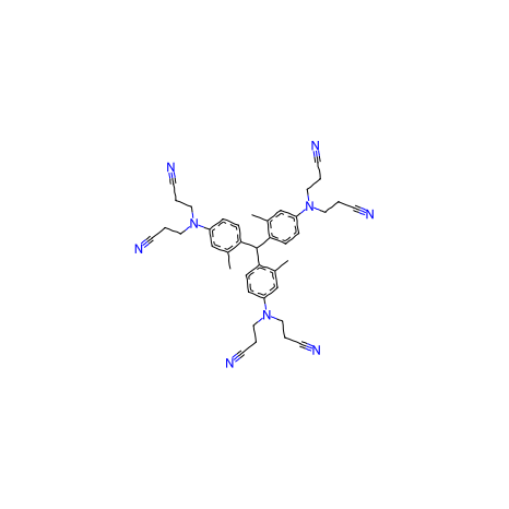 Cc1cc(N(CCC#N)CCC#N)ccc1C(c1ccc(N(CCC#N)CCC#N)cc1C)c1ccc(N(CCC#N)CCC#N)cc1C